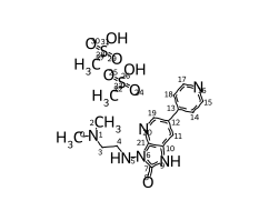 CN(C)CCNn1c(=O)[nH]c2cc(-c3ccncc3)cnc21.CS(=O)(=O)O.CS(=O)(=O)O